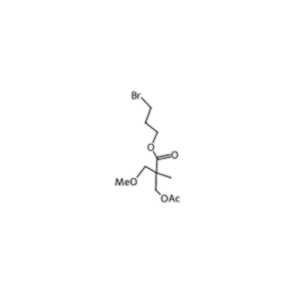 COCC(C)(COC(C)=O)C(=O)OCCCBr